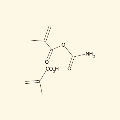 C=C(C)C(=O)O.C=C(C)C(=O)OC(N)=O